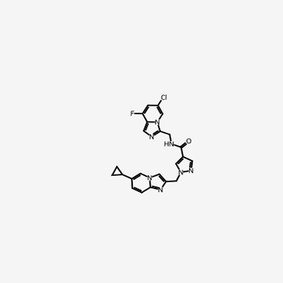 O=C(NCc1ncc2c(F)cc(Cl)cn12)c1cnn(Cc2cn3cc(C4CC4)ccc3n2)c1